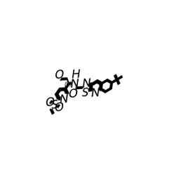 CCS(=O)(=O)c1ccc([C@@H](CC=O)NC(=O)c2nc3cc4c(nc3s2)CCC(C(C)(C)C)C4)cn1